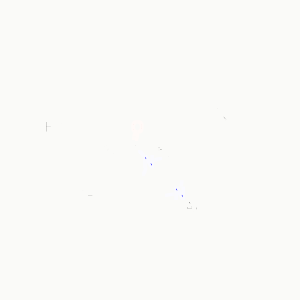 CC(=O)N1CCN(C(=O)c2cc(C(F)(F)F)cc(C(F)(F)F)c2)[C@H](Cc2ccc(C)c(C)c2)C1